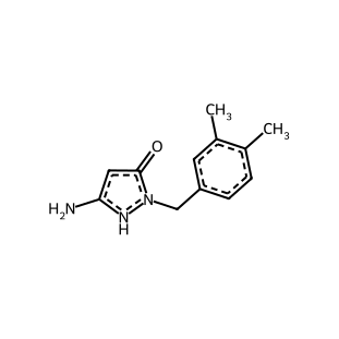 Cc1ccc(Cn2[nH]c(N)cc2=O)cc1C